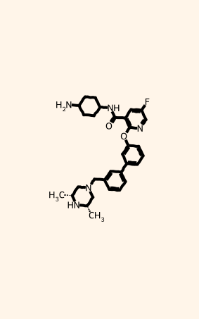 C[C@@H]1CN(Cc2cccc(-c3cccc(Oc4ncc(F)cc4C(=O)NC4CCC(N)CC4)c3)c2)C[C@H](C)N1